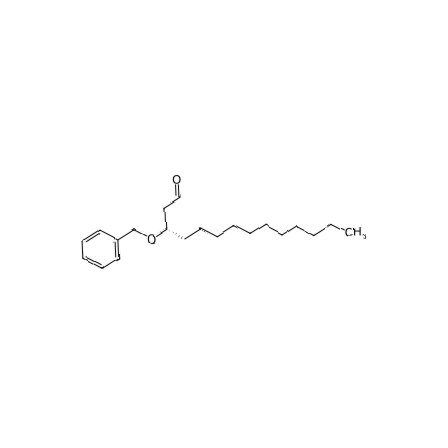 CCCCCCCCCCC[C@@H](CC=O)OCc1ccccc1